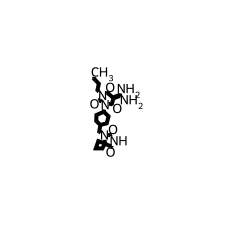 CCCCN1C(=O)C(=C(N)N)C(=O)N(C2CCC(CN3C(=O)NC(=O)C34CCC4)CC2)C1=O